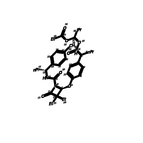 CCCC(c1ccc(O[C@@H]2N(C(=O)N[C@H](CCC)c3ccc(C)cc3)C(=O)C2(CC)CC)cc1)[PH](=O)OC(OC(=O)CC)C(C)C